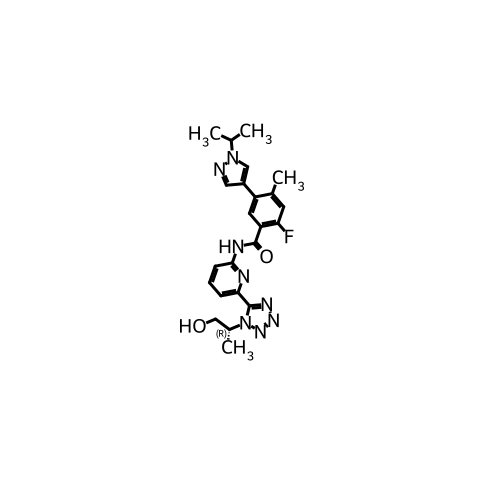 Cc1cc(F)c(C(=O)Nc2cccc(-c3nnnn3[C@H](C)CO)n2)cc1-c1cnn(C(C)C)c1